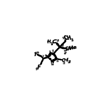 CSC(C)(C)c1cn(C(F)F)nc1C